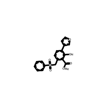 COC(=O)c1c(CS(=O)(=O)c2ccccc2)ccc(-c2ccoc2)c1O